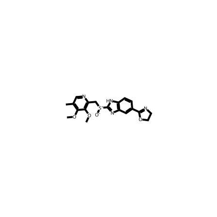 COc1c(C)cnc(C[S+]([O-])c2nc3cc(C4=NCCO4)ccc3[nH]2)c1OC